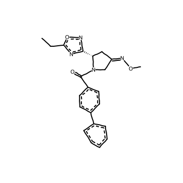 CCc1nc([C@@H]2C/C(=N/OC)CN2C(=O)c2ccc(-c3ccccc3)cc2)no1